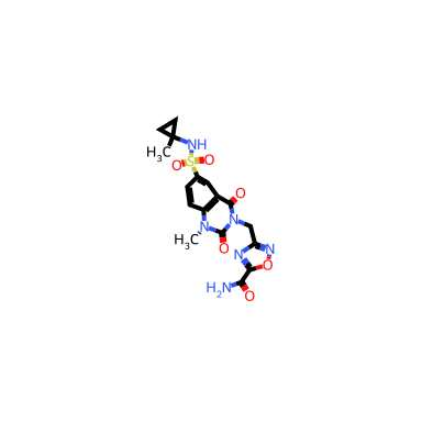 Cn1c(=O)n(Cc2noc(C(N)=O)n2)c(=O)c2cc(S(=O)(=O)NC3(C)CC3)ccc21